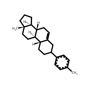 Cc1ccc(C2CC[C@H]3C(=CC[C@@H]4[C@@H]3CC[C@]3(C)CCC[C@@H]43)C2)cc1